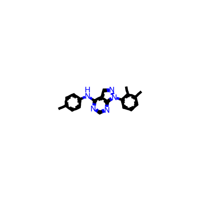 Cc1ccc(Nc2ncnc3c2cnn3-c2cccc(C)c2C)cc1